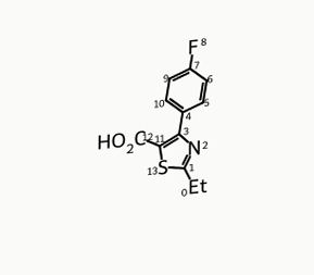 CCc1nc(-c2ccc(F)cc2)c(C(=O)O)s1